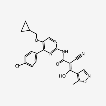 Cc1oncc1/C(O)=C(\C#N)C(=O)Nc1ncc(OCC2CC2)c(-c2ccc(Cl)cc2)n1